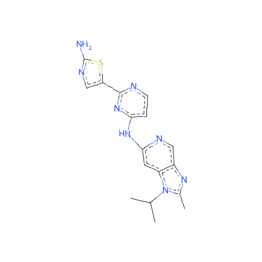 Cc1nc2cnc(Nc3ccnc(-c4cnc(N)s4)n3)cc2n1C(C)C